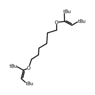 CC(C)(C)C=C(OCCCCCCOC(=CC(C)(C)C)C(C)(C)C)C(C)(C)C